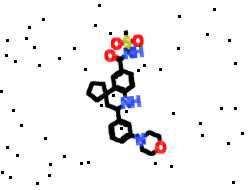 CS(=O)(=O)NC(=O)c1ccc2c(c1)C1(CCCC1)CC(c1cccc(N3CCOCC3)c1)N2